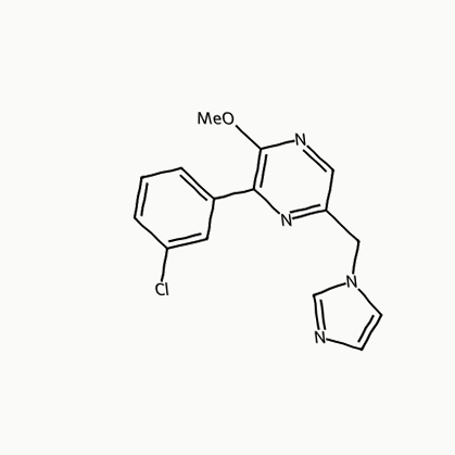 COc1ncc(Cn2ccnc2)nc1-c1cccc(Cl)c1